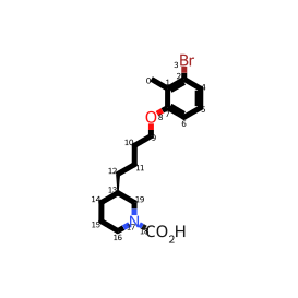 Cc1c(Br)cccc1OCCCC[C@@H]1CCCN(C(=O)O)C1